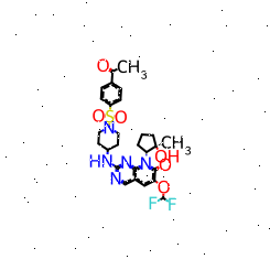 CC(=O)c1ccc(S(=O)(=O)N2CCC(Nc3ncc4cc(OC(F)F)c(=O)n([C@@H]5CCC[C@@]5(C)O)c4n3)CC2)cc1